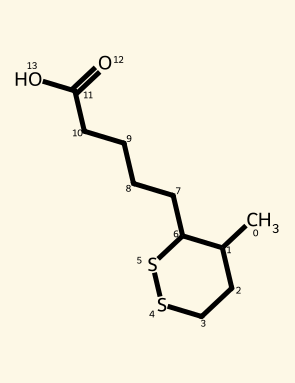 CC1CCSSC1CCCCC(=O)O